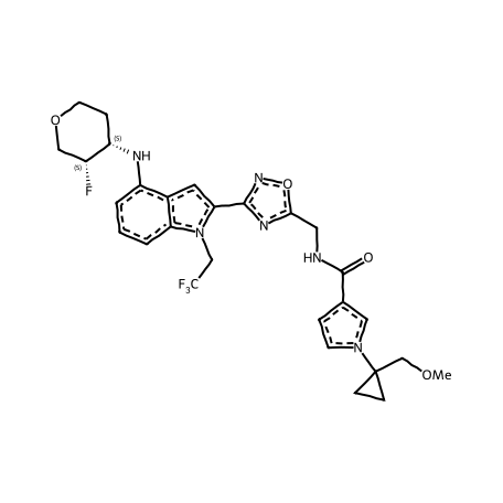 COCC1(n2ccc(C(=O)NCc3nc(-c4cc5c(N[C@H]6CCOC[C@H]6F)cccc5n4CC(F)(F)F)no3)c2)CC1